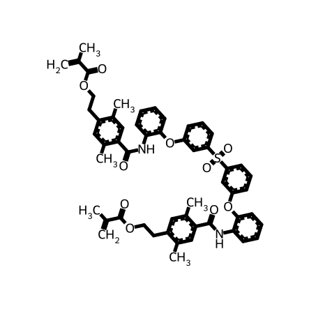 C=C(C)C(=O)OCCc1cc(C)c(C(=O)Nc2ccccc2Oc2cccc(S(=O)(=O)c3cccc(Oc4ccccc4NC(=O)c4cc(C)c(CCOC(=O)C(=C)C)cc4C)c3)c2)cc1C